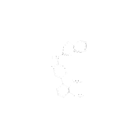 COc1cccc(-c2cnc(NC(=O)/C=C\c3ccccc3)nc2)c1OC